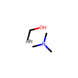 CCCCO.CN(C)C